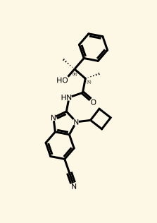 C[C@H](C(=O)Nc1nc2ccc(C#N)cc2n1C1CCC1)[C@@](C)(O)c1ccccc1